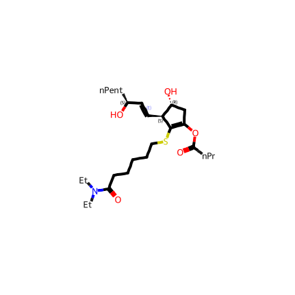 CCCCC[C@H](O)/C=C/[C@@H]1C(SCCCCCC(=O)N(CC)CC)=C(OC(=O)CCC)C[C@H]1O